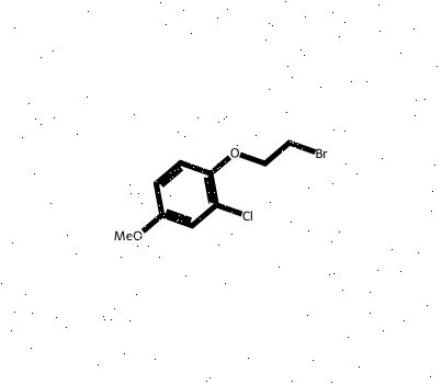 COc1ccc(OCCBr)c(Cl)c1